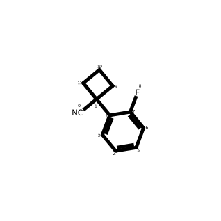 N#CC1(c2ccccc2F)CCC1